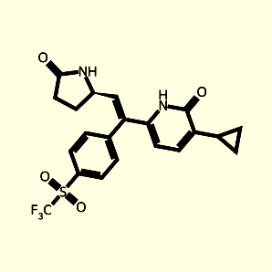 O=C1CC[C@H](/C=C(\c2ccc(S(=O)(=O)C(F)(F)F)cc2)c2ccc(C3CC3)c(=O)[nH]2)N1